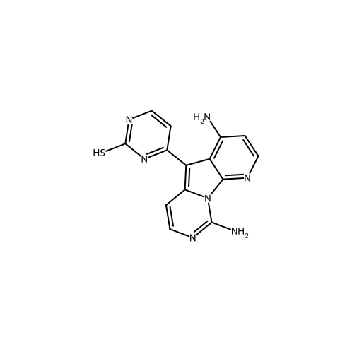 Nc1ccnc2c1c(-c1ccnc(S)n1)c1ccnc(N)n12